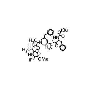 COC(=O)C(NC(=O)C(C)NC(=O)C(C)N1CCC(C(C)NC(=O)C(Cc2ccccc2)NC(=O)OC(C)(C)C)=CC(Cc2ccccc2)C1)C(C)C